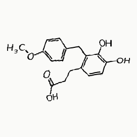 COc1ccc(Cc2c(CCC(=O)O)ccc(O)c2O)cc1